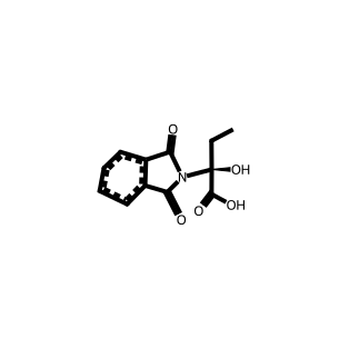 CC[C@](O)(C(=O)O)N1C(=O)c2ccccc2C1=O